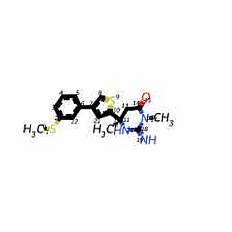 CSc1cccc(-c2csc([C@]3(C)CC(=O)N(C)C(=N)N3)c2)c1